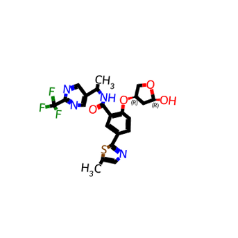 Cc1cnc(-c2ccc(O[C@H]3CO[C@@H](O)C3)c(C(=O)NC(C)c3cnc(C(F)(F)F)nc3)c2)s1